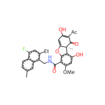 CCc1cc(F)c2ccc(C)cc2c1CNC(=O)c1c(OC)cc(O)c2c1OC1=CC(O)=C(C(C)=O)C(=O)[C@]12C